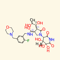 BC1(O)C(N2CC(=C(/O)NCc3cc(CN4CCOCC4)ccc3F)/C(=C(/O)C(=C)O)C2=O)C(=O)NC(=O)C1(O)O